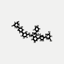 Cc1cc(C)nc(-c2ccc(-c3cccc(C/N=C(\N=C(/N)c4ccccc4)c4cccc(-c5ccc(-c6nc(C)cc(C)n6)cc5)c4)c3)cc2)n1